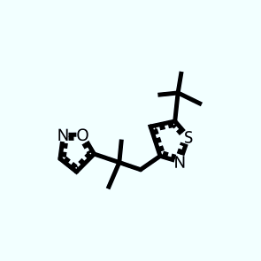 CC(C)(C)c1cc(CC(C)(C)c2ccno2)ns1